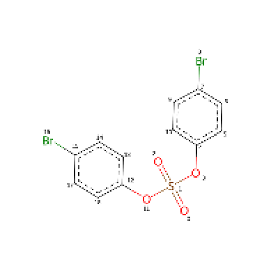 O=S(=O)(Oc1ccc(Br)cc1)Oc1ccc(Br)cc1